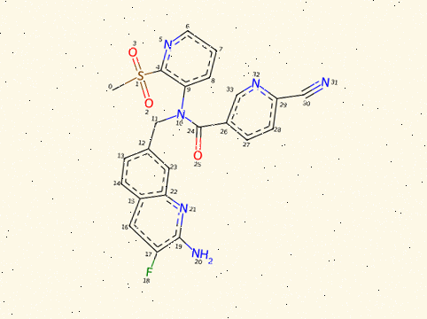 CS(=O)(=O)c1ncccc1N(Cc1ccc2cc(F)c(N)nc2c1)C(=O)c1ccc(C#N)nc1